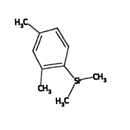 Cc1ccc([Si](C)C)c(C)c1